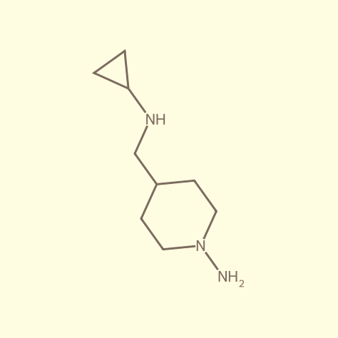 NN1CCC(CNC2CC2)CC1